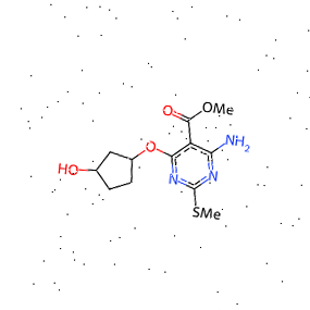 COC(=O)c1c(N)nc(SC)nc1OC1CCC(O)C1